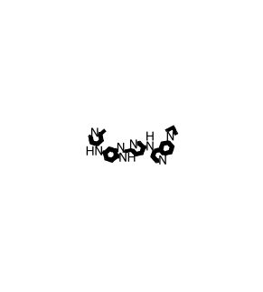 Cc1cc(Nc2ccc3[nH]c(-c4ccc(Nc5ccnc6ccc(N7CCC7)cc56)cn4)nc3c2)ccn1